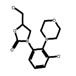 O=C1OC(CCl)CN1c1cccc(Cl)c1N1CCOCC1